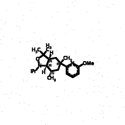 COc1cccc([C@@]2(C)C[C@@H]3[C@@H]([C@@H](C)C2)N(C(C)C)OC3(C)C)n1